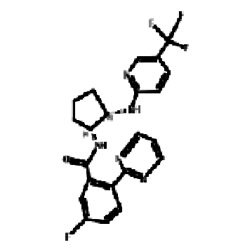 O=C(N[C@@H]1CCC[C@@H]1Nc1ccc(C(F)(F)F)cn1)c1cc(F)ccc1-c1ncccn1